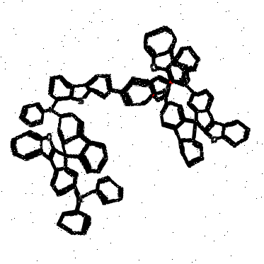 c1ccc(N(c2ccccc2)c2ccc3c(c2)C2(c4ccccc4-c4ccc(N(c5ccc(-c6ccc7c(c6)sc6c(N(c8ccccc8)c8ccc9c(c8)C8(c%10ccccc%10-9)c9cc(N(c%10ccccc%10)c%10ccccc%10)ccc9-c9c8oc8ccccc98)cccc67)cc5)c5cccc6c5oc5ccccc56)cc42)c2oc4ccccc4c2-3)cc1